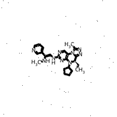 CC[C@@H]1c2nnc(C)n2-c2cnc(N/C=C(\NC)c3cccnc3)nc2N1C1CCCC1